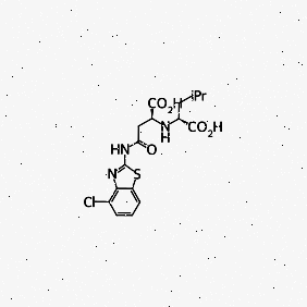 CC(C)C[C@H](N[C@@H](CC(=O)Nc1nc2c(Cl)cccc2s1)C(=O)O)C(=O)O